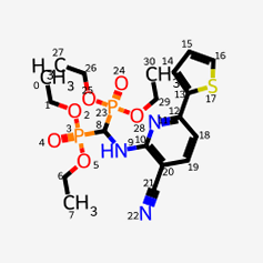 CCOP(=O)(OCC)C(Nc1nc(-c2cccs2)ccc1C#N)P(=O)(OCC)OCC